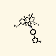 C[C@H]1OC(=O)[C@@H]2C[C@@H]3CC[C@H](N)C[C@H]3[C@H](/C=C/c3ccc(-c4cccc(F)c4)cn3)[C@H]12